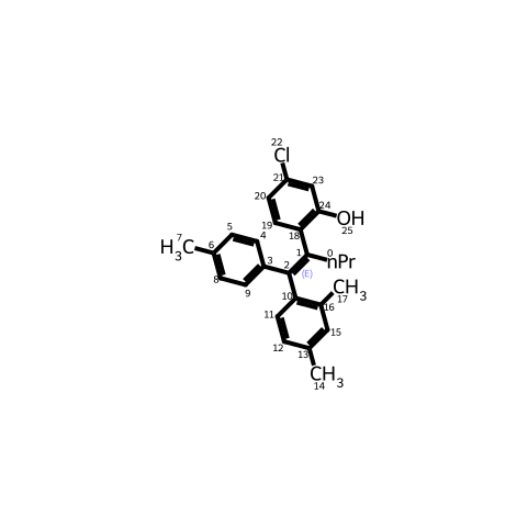 CCC/C(=C(/c1ccc(C)cc1)c1ccc(C)cc1C)c1ccc(Cl)cc1O